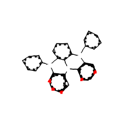 c1ccc(P(c2ccccc2)c2cccc(P(c3ccccc3)c3ccccc3)c2P(c2ccccc2)c2ccccc2)cc1